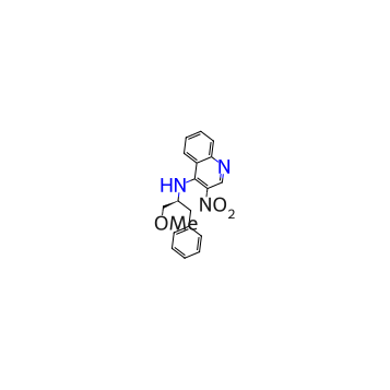 COC[C@H](Cc1ccccc1)Nc1c([N+](=O)[O-])cnc2ccccc12